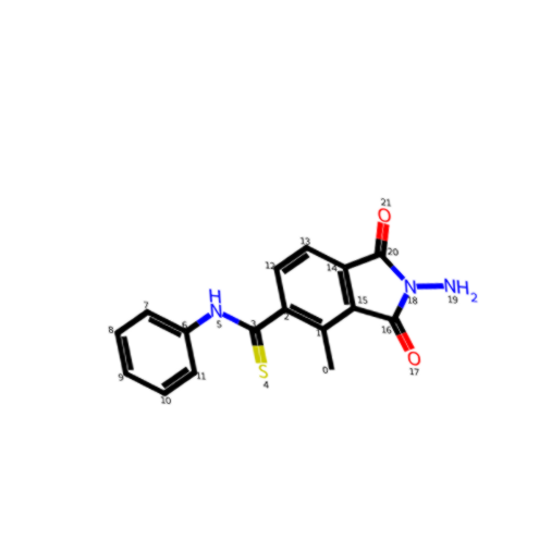 Cc1c(C(=S)Nc2ccccc2)ccc2c1C(=O)N(N)C2=O